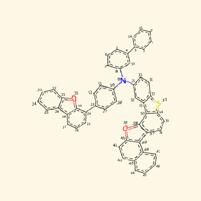 c1ccc(-c2cccc(N(c3ccc(-c4cccc5c4oc4ccccc45)cc3)c3ccc4sc5ccc6c(oc7ccc8ccccc8c76)c5c4c3)c2)cc1